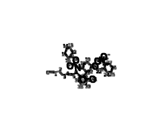 C#CC=CC#CC1N(C(=O)Oc2ccccc2)c2ccc(OCc3ccccc3[N+](=O)[O-])cc2C23OC12CCCC3=O